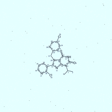 CC(C)n1c(=O)[nH]c(=O)c2c1nc(-c1cccnc1Cl)n2Cc1ccc(Cl)cn1